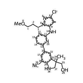 COCCCn1nc(Cl)cc1Nc1nccc(-c2cc(C#N)c3c(c2)C(C)(CO)CN3)n1